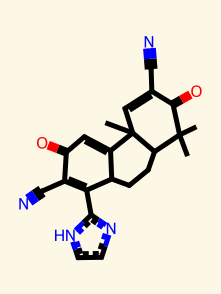 CC1(C)C(=O)C(C#N)=CC2(C)C3=CC(=O)C(C#N)=C(c4ncc[nH]4)C3CCC12